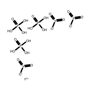 O=P(O)(O)O.O=P(O)(O)O.O=P(O)(O)O.[O]=[V](=[O])[O-].[O]=[V](=[O])[O-].[O]=[V](=[O])[O-].[Y+3]